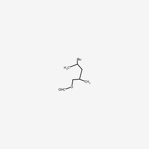 CCC(C)C(C)CC(C)COC=O